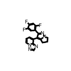 Fc1cc(F)c(-c2nn3c(c2-c2cccn4ncnc24)CCC3)cc1F